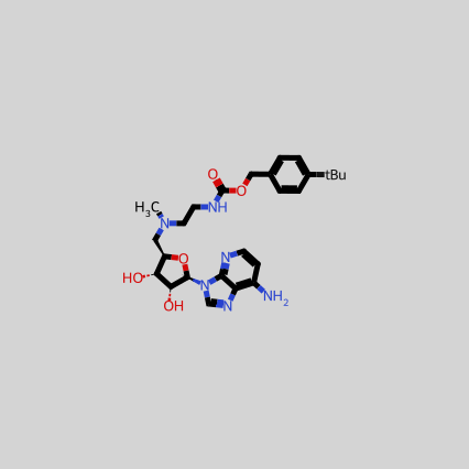 CN(CCNC(=O)OCc1ccc(C(C)(C)C)cc1)C[C@H]1O[C@@H](n2cnc3c(N)ccnc32)[C@H](O)[C@@H]1O